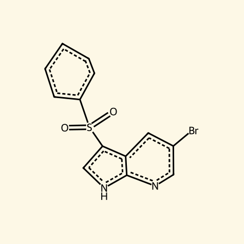 O=S(=O)(c1ccccc1)c1c[nH]c2ncc(Br)cc12